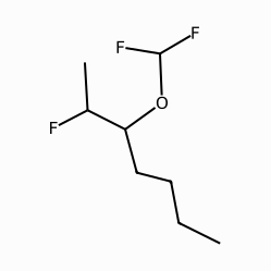 CCCCC(OC(F)F)C(C)F